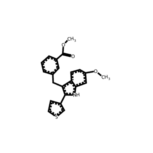 COC(=O)c1cccc(Cc2c(-c3ccsc3)[nH]c3cc(OC)ccc23)c1